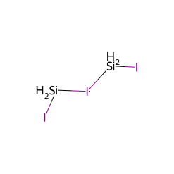 I[SiH2][I][SiH2]I